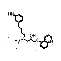 CN(CCCCC1=CC=CC(=N)C1)CC(O)COc1cccc2ncccc12